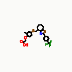 Cc1cc(SC[C@H]2CCCCc3sc(-c4ccc(C(F)(F)F)cc4)nc32)ccc1OCC(=O)O